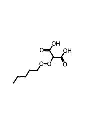 CCCCCOOC(C(=O)O)C(=O)O